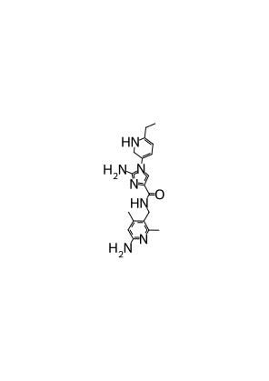 CCC1=CC=C(n2cc(C(=O)NCc3c(C)cc(N)nc3C)nc2N)CN1